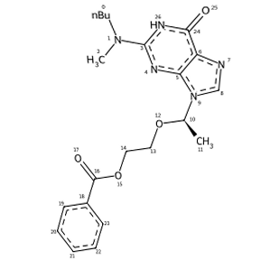 CCCCN(C)c1nc2c(ncn2[C@@H](C)OCCOC(=O)c2ccccc2)c(=O)[nH]1